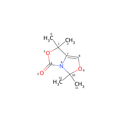 CC1(C)OC(=O)N2C1=COC2(C)C